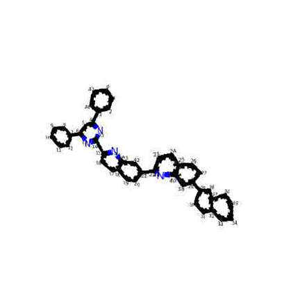 c1ccc(-c2cc(-c3ccccc3)nc(-c3ccc4ccc(-c5ccc6ccc(-c7ccc8ccccc8c7)cc6n5)cc4n3)n2)cc1